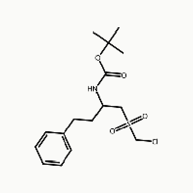 CC(C)(C)OC(=O)NC(CCc1ccccc1)CS(=O)(=O)CCl